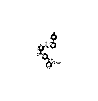 COC1COCCC1NC1CCN(C(=O)c2cc(NC[C@H]3CCC[C@@H](c4ccc(C)cc4)O3)ncn2)CC1